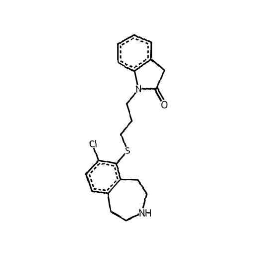 O=C1Cc2ccccc2N1CCCSc1c(Cl)ccc2c1CCNCC2